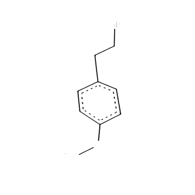 CC(C)CCc1ccc(OC(F)(F)F)cc1